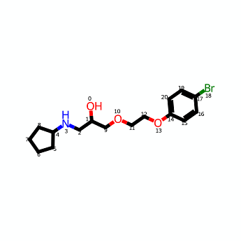 OC(CNC1CCCC1)COCCOc1ccc(Br)cc1